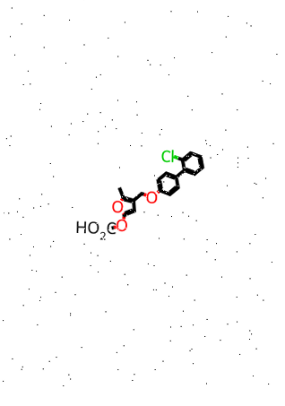 Cc1oc(OC(=O)O)cc1COc1ccc(-c2ccccc2Cl)cc1